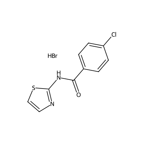 Br.O=C(Nc1nccs1)c1ccc(Cl)cc1